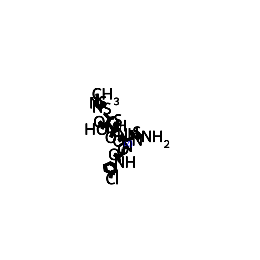 Cc1nnc(SCC2=C(C(=O)O)N3C(=O)C(NC(=O)/C(=N\OCC(=O)Nc4cccc(Cl)c4)c4csc(N)n4)[C@H]3SC2)s1